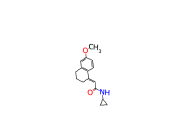 COc1ccc2c(c1)CCCC2=CC(=O)NC1CC1